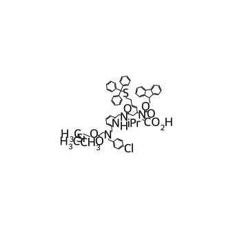 CC(C)[C@@H](C(=O)O)N(C(=O)OCC1c2ccccc2-c2ccccc21)C(C=CCCSC(c1ccccc1)(c1ccccc1)c1ccccc1)CC(=O)NCc1cccc(CN(CC(=O)OCC[Si](C)(C)C)Cc2ccc(Cl)cc2)n1